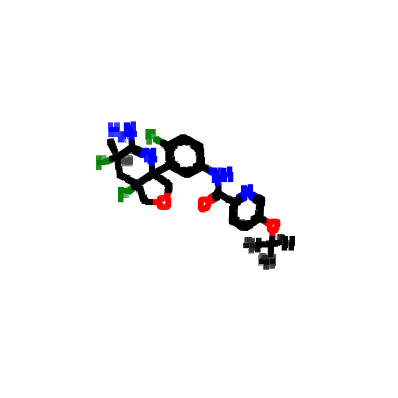 [2H]C([2H])([2H])Oc1ccc(C(=O)Nc2ccc(F)c(C34COCC3(F)C[C@](C)(F)C(N)=N4)c2)nc1